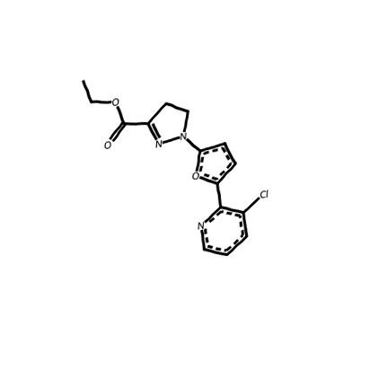 CCOC(=O)C1=NN(c2ccc(-c3ncccc3Cl)o2)CC1